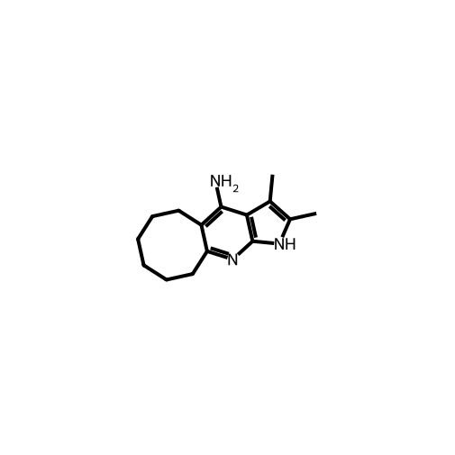 Cc1[nH]c2nc3c(c(N)c2c1C)CCCCCC3